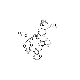 COCC1(COC)COc2csc(-c3sc(Cc4sc(-c5scc6c5OCC(COC)(COC)CO6)c5c4OCCO5)c4c3OCCO4)c2OC1